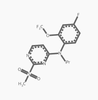 CC(C)N(c1ccnc(S(C)(=O)=O)n1)c1ccc(F)cc1OC(F)(F)F